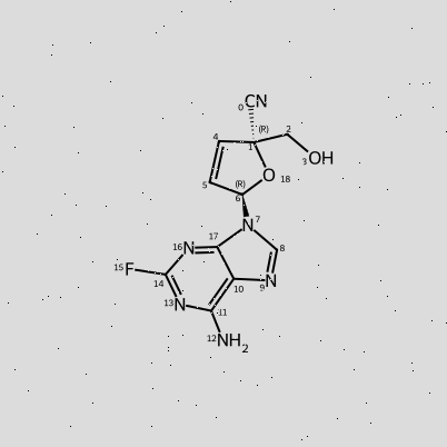 N#C[C@@]1(CO)C=C[C@H](n2cnc3c(N)nc(F)nc32)O1